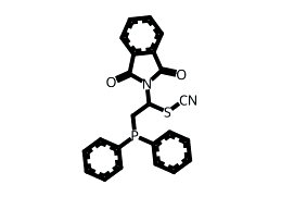 N#CSC(CP(c1ccccc1)c1ccccc1)N1C(=O)c2ccccc2C1=O